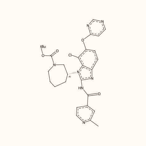 Cc1cc(C(=O)Nc2nc3ccc(Oc4ccncn4)c(Cl)c3n2[C@@H]2CCCCN(C(=O)OC(C)(C)C)C2)ccn1